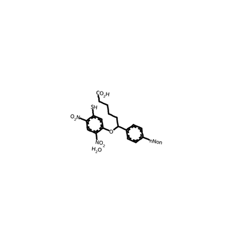 CCCCCCCCCc1ccc(C(CCCCC(=O)O)Oc2cc(S)c([N+](=O)[O-])cc2[N+](=O)[O-])cc1.O